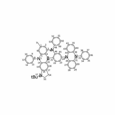 Cc1cc2c3c(c1)N(c1ccccc1)c1cc4c(cc1B3c1ccc(N3c5ccccc5N(c5ccccc5)c5ccccc53)cc1N2c1ccccc1)CCN4C(C)(C)C